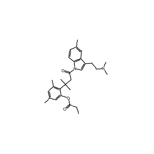 CCC(=O)Oc1cc(C)cc(C)c1C(C)(C)CC(=O)n1cc(CCN(C)C)c2cc(C)ccc21